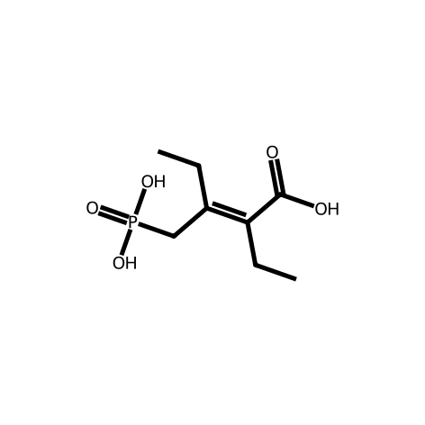 CC/C(CP(=O)(O)O)=C(/CC)C(=O)O